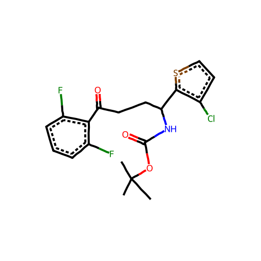 CC(C)(C)OC(=O)NC(CCC(=O)c1c(F)cccc1F)c1sccc1Cl